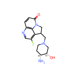 N[C@@H]1CCN(CC2Cn3c(=O)ccc4ncc(F)c2c43)C[C@@H]1O